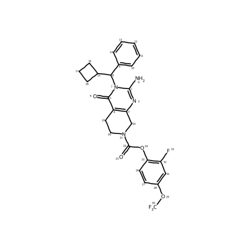 Nc1nc2c(c(=O)n1C(c1ccccc1)C1CCC1)CCN(C(=O)Oc1ccc(OC(F)(F)F)cc1F)C2